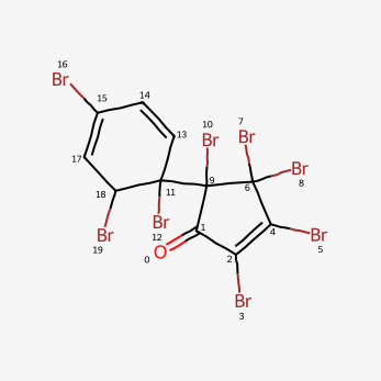 O=C1C(Br)=C(Br)C(Br)(Br)C1(Br)C1(Br)C=CC(Br)=CC1Br